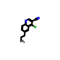 CCCc1ccc2ncc(C#N)c(Cl)c2c1